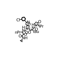 CCC[C@H](NC(=O)[C@@H]1C[C@]2(CC(c3cccc(Cl)c3)=NO2)CN1C(=O)[C@@H](NC(=O)[C@@H]1CCC(=O)N1C(C)C)C(C)(C)C)C(=O)C(=O)NC1CC1